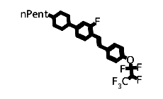 CCCCCC1CCC(c2ccc(C=Cc3ccc(OC(F)(F)C(F)C(F)(F)F)cc3)c(F)c2)CC1